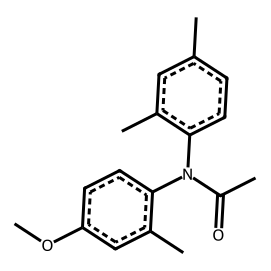 COc1ccc(N(C(C)=O)c2ccc(C)cc2C)c(C)c1